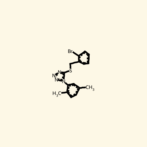 Cc1ccc(C)c(-n2nnnc2SCc2ccccc2Br)c1